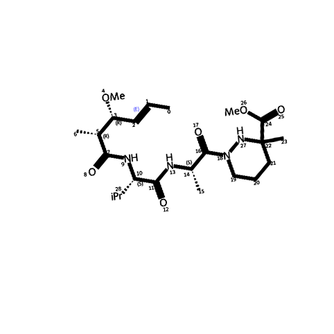 C/C=C/[C@@H](OC)[C@@H](C)C(=O)N[C@H](C(=O)N[C@@H](C)C(=O)N1CCCC(C)(C(=O)OC)N1)C(C)C